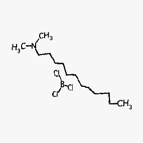 CCCCCCCCCCCCN(C)C.ClB(Cl)Cl